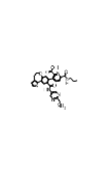 CCCNC(=O)c1ccc(-c2cc3c(cc2C(=O)Nc2cnc(CN)nc2)-c2sccc2CCO3)c(C(=O)O)n1